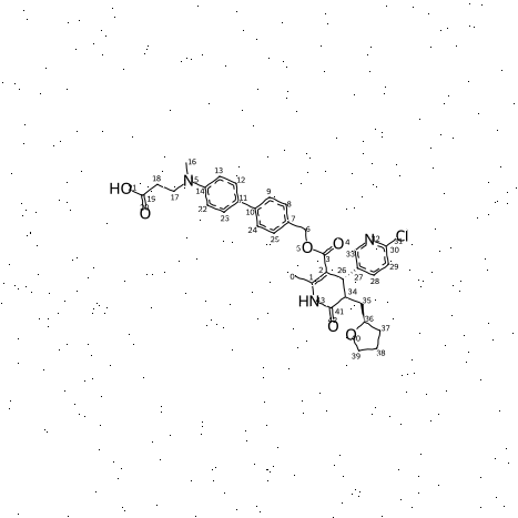 CC1=C(C(=O)OCc2ccc(-c3ccc(N(C)CCC(=O)O)cc3)cc2)[C@H](c2ccc(Cl)nc2)C(C[C@H]2CCCO2)C(=O)N1